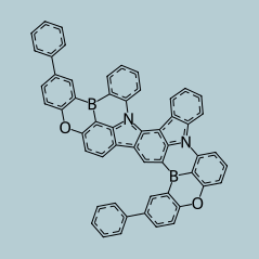 c1ccc(-c2ccc3c(c2)B2c4c(cccc4-n4c5ccccc5c5c4c2cc2c4ccc6c7c4n(c25)-c2ccccc2B7c2cc(-c4ccccc4)ccc2O6)O3)cc1